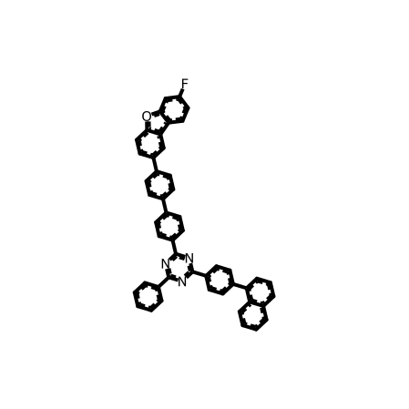 Fc1ccc2c(c1)oc1ccc(-c3ccc(-c4ccc(-c5nc(-c6ccccc6)nc(-c6ccc(-c7cccc8ccccc78)cc6)n5)cc4)cc3)cc12